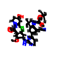 COc1cc(C(=O)N2CCC(O)CC2)c(Cl)cc1Nc1nccc(-c2cc(C#N)c3c(c2)C(C)(C)CN3C(=O)OC(C)(C)C)n1